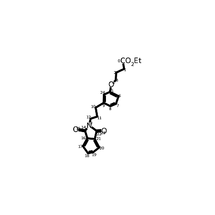 CCOC(=O)CCCOc1cccc(CCCN2C(=O)c3ccccc3C2=O)c1